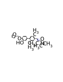 C/C(=C\c1cc(C)c(-c2ccc(OCc3ccco3)c(O)c2)cc1C)C(=O)N(C)C